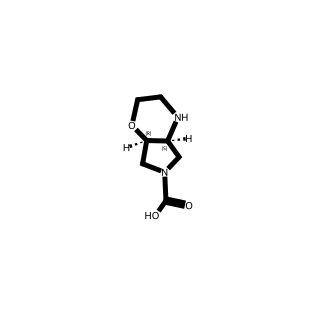 O=C(O)N1C[C@@H]2NCCO[C@@H]2C1